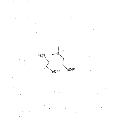 CCCCCCCCCCCCN.CCCCCCCCCCCCN(C)C